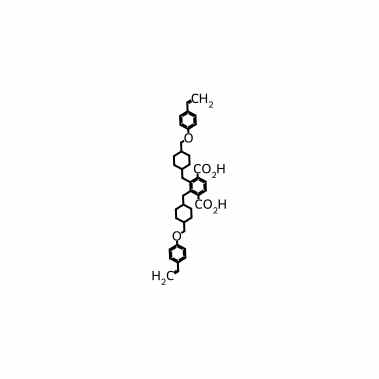 C=Cc1ccc(OCC2CCC(Cc3c(C(=O)O)ccc(C(=O)O)c3CC3CCC(COc4ccc(C=C)cc4)CC3)CC2)cc1